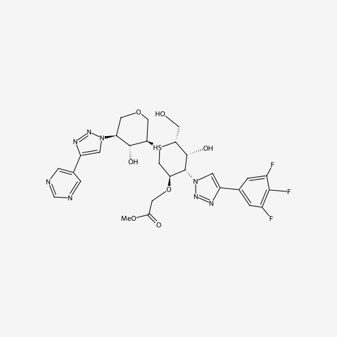 COC(=O)CO[C@H]1C[SH]([C@@H]2COC[C@H](n3cc(-c4cncnc4)nn3)[C@H]2O)[C@H](CO)[C@H](O)[C@@H]1n1cc(-c2cc(F)c(F)c(F)c2)nn1